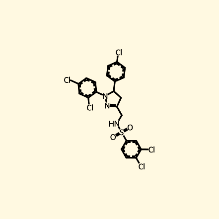 O=S(=O)(NCC1=NN(c2ccc(Cl)cc2Cl)C(c2ccc(Cl)cc2)C1)c1ccc(Cl)c(Cl)c1